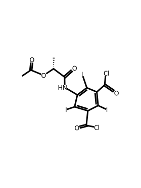 CC(=O)O[C@H](C)C(=O)Nc1c(I)c(C(=O)Cl)c(I)c(C(=O)Cl)c1I